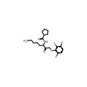 NCCCCC(NC(=O)C1CCCC1)C(=O)COc1c(F)ccc(F)c1F